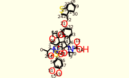 CC(C)CN(C[C@H]1OC(C)(C)N(C(=O)O)[C@@]1(Cc1ccc(OCc2csc3ccccc23)cc1)[C@@H]1CO[C@H]2OCC[C@H]21)S(=O)(=O)c1ccc2c(c1)OCO2